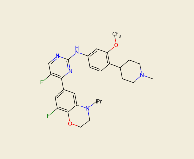 CC(C)N1CCOc2c(F)cc(-c3nc(Nc4ccc(C5CCN(C)CC5)c(OC(F)(F)F)c4)ncc3F)cc21